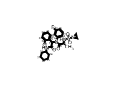 C[C@H](NS(=O)(=O)N1CC1)C(=O)N(c1cccc(F)c1)C(C(=O)NC1CCCCC1)c1ccccc1Cl